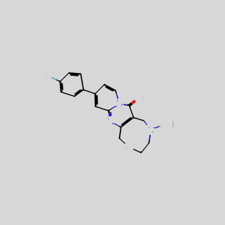 CN1CCCCc2nc3cc(-c4ccc(F)cc4)ccn3c(=O)c2C1